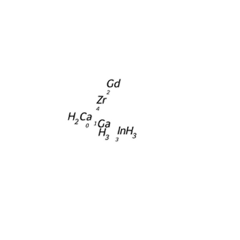 [CaH2].[GaH3].[Gd].[InH3].[Zr]